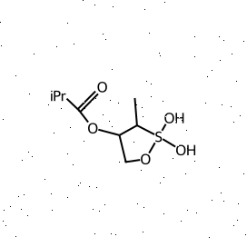 CC(C)C(=O)OC1COS(O)(O)C1C